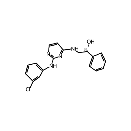 O[C@@H](CNc1ccnc(Nc2cccc(Cl)c2)n1)c1ccccc1